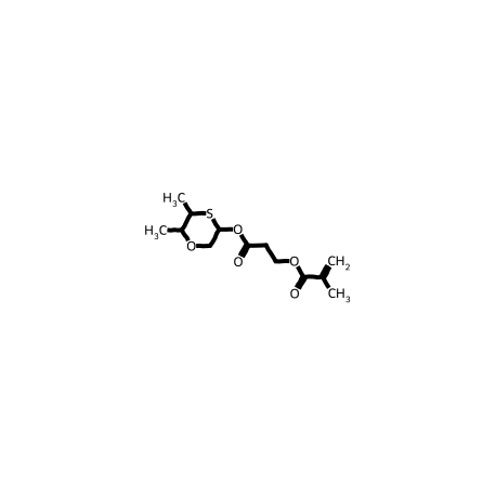 C=C(C)C(=O)OCCC(=O)OC1COC(C)C(C)S1